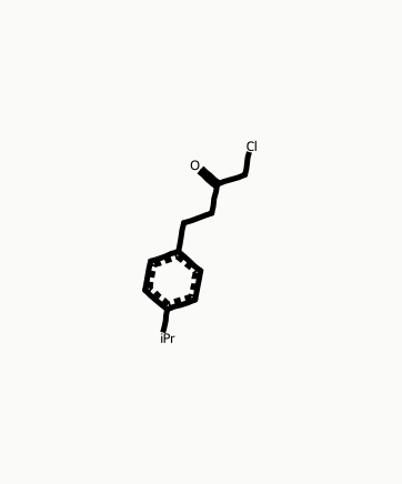 CC(C)c1ccc(CCC(=O)CCl)cc1